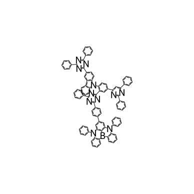 c1ccc(-c2cc(-c3ccc(-n4c5ccccc5c5cc(-c6nc(-c7ccccc7)nc(-c7ccccc7)n6)ccc54)c(-c4nc(-c5ccccc5)nc(-c5ccc(-c6cc7c8c(c6)N(c6ccccc6)c6ccccc6B8c6ccccc6N7c6ccccc6)cc5)n4)c3)nc(-c3ccccc3)n2)cc1